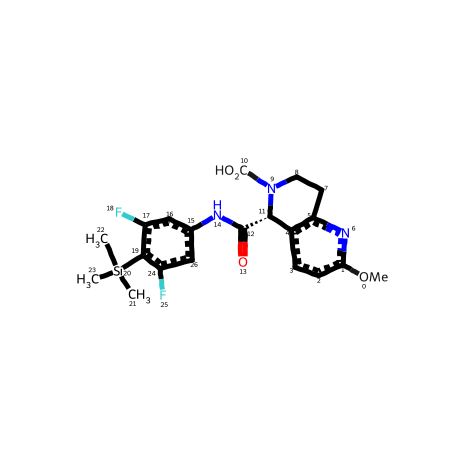 COc1ccc2c(n1)CCN(C(=O)O)[C@H]2C(=O)Nc1cc(F)c([Si](C)(C)C)c(F)c1